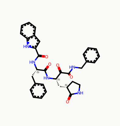 O=C(NCc1ccccc1)C(=O)[C@H](C[C@@H]1CCNC1=O)NC(=O)[C@H](Cc1ccccc1)NC(=O)c1cc2ccccc2[nH]1